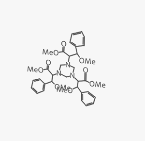 COC(=O)C(C(OC)c1ccccc1)N1CN(C(C(=O)OC)C(OC)c2ccccc2)CN(C(C(=O)OC)C(OC)c2ccccc2)C1